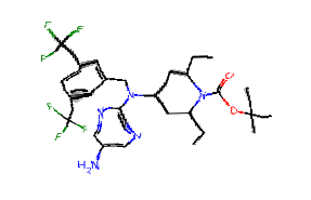 CCC1CC(N(Cc2cc(C(F)(F)F)cc(C(F)(F)F)c2)c2ncc(N)cn2)CC(CC)N1C(=O)OC(C)(C)C